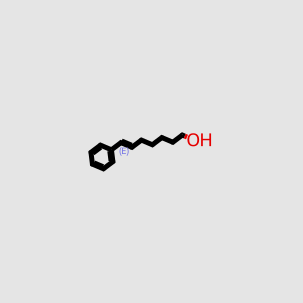 OCCCCC/C=C/c1ccccc1